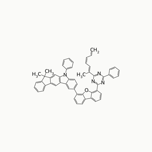 C=C/C=C\C=C(/C)c1nc(-c2ccccc2)nc(-c2cccc3c2oc2c(-c4ccc5c(c4)c4cc6c(cc4n5-c4ccccc4)C(C)(C)c4ccccc4-6)cccc23)n1